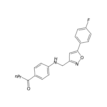 CCCC(=O)c1ccc(NCc2cc(-c3ccc(F)cc3)on2)cc1